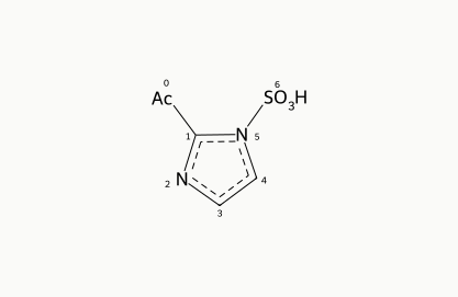 CC(=O)c1nccn1S(=O)(=O)O